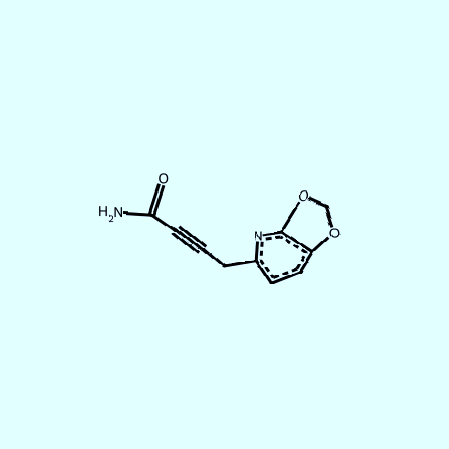 NC(=O)C#CCc1ccc2c(n1)OCO2